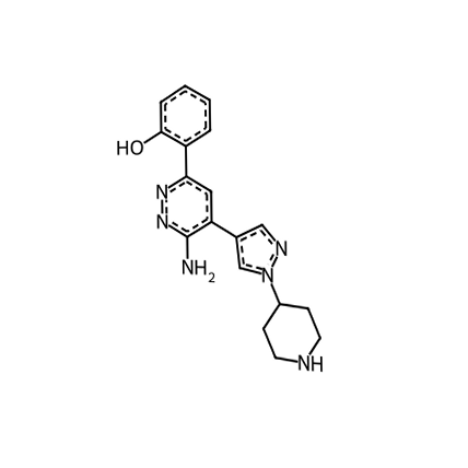 Nc1nnc(-c2ccccc2O)cc1-c1cnn(C2CCNCC2)c1